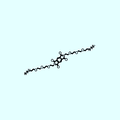 [N-]=[N+]=NCCOCCOCCOCCn1c(=O)c2cc3c(=O)n(CCOCCOCCOCCN=[N+]=[N-])c(=O)c3cc2c1=O